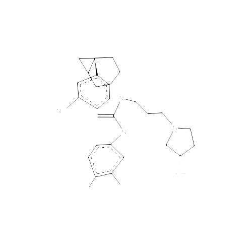 N#Cc1cccc([C@@]23CC[C@H](N(CCCN4CC[C@H](O)C4)C(=O)Nc4ccc(F)c(Cl)c4)CC2C3)c1